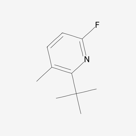 Cc1ccc(F)nc1C(C)(C)C